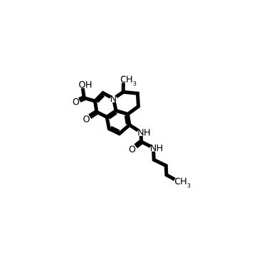 CCCCNC(=O)Nc1ccc2c(=O)c(C(=O)O)cn3c2c1CCC3C